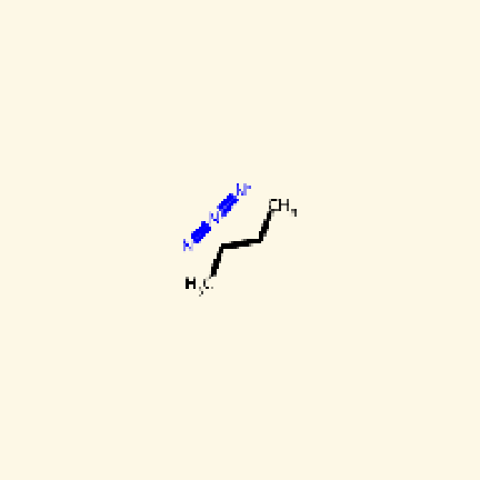 CCCC.[N-]=[N+]=[N-]